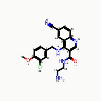 COc1ccc(CNc2c(C(=O)NCCN)cnc3ccc(C#N)cc23)cc1Cl